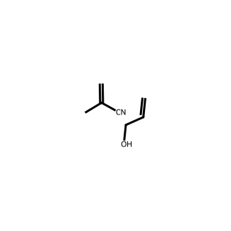 C=C(C)C#N.C=CCO